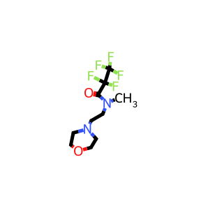 CN(CCN1CCOCC1)C(=O)C(F)(F)C(F)(F)F